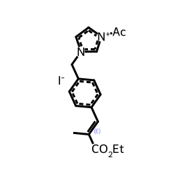 CCOC(=O)/C(C)=C/c1ccc(Cn2cc[n+](C(C)=O)c2)cc1.[I-]